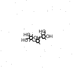 Cc1cc(Cc2cc(C)c(O)c(CO)c2C)c(O)c(Cc2cc(C)c(O)c(CO)c2C)c1